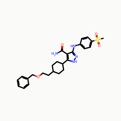 CS(=O)(=O)c1ccc(Nc2n[nH]c(C3CCC(CCOCc4ccccc4)CC3)c2C(N)=O)cc1